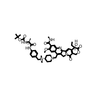 CC[C@@]1(O)C(=O)OCc2c1cc1n(c2=O)Cc2c-1nc1cc(C(=O)NC)c(OC)cc1c2CN1CCC([N+](C)(C)Cc2ccc(NC(=O)[C@H](C)NC(=O)OC(C)(C)C)cc2)CC1